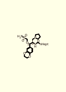 CCCCCCCC(=O)N[C@H](CN1CCCC1)[C@H](OCS(N)(=O)=O)c1ccc2c(c1)OCCO2